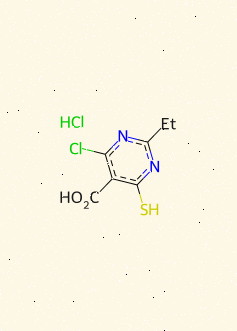 CCc1nc(S)c(C(=O)O)c(Cl)n1.Cl